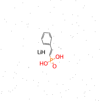 O=P(O)(O)C=Cc1ccccc1.[LiH]